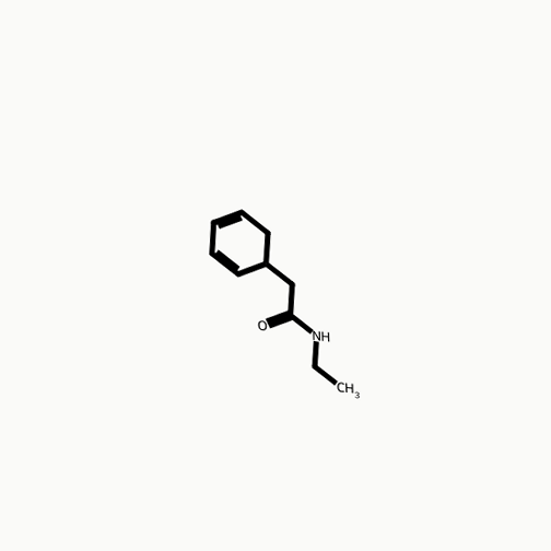 CCNC(=O)CC1C=CC=CC1